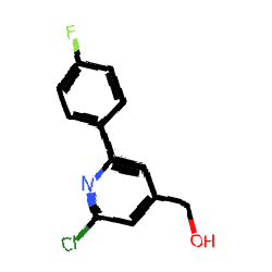 OCc1cc(Cl)nc(-c2ccc(F)cc2)c1